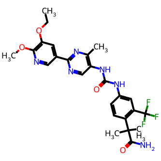 CCOc1cc(-c2ncc(NC(=O)Nc3ccc(C(C)(C)C(N)=O)c(C(F)(F)F)c3)c(C)n2)cnc1OC